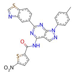 Cc1ccc(-n2ncc3c(NC(=O)c4ccc([N+](=O)[O-])s4)nc(-c4ccc5scnc5c4)nc32)cc1